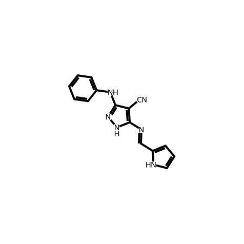 N#Cc1c(Nc2ccccc2)n[nH]c1/N=C/c1ccc[nH]1